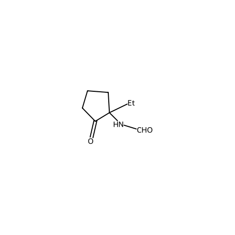 CCC1(NC=O)CCCC1=O